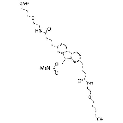 CNC(=O)OCC1c2cc(CCCC(=O)NCCOCCCCO)ccc2-c2ccc(CCCC(=O)NCCOCCCOC)cc21